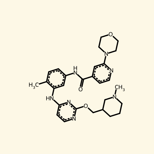 Cc1ccc(NC(=O)c2ccnc(N3CCOCC3)c2)cc1Nc1ccnc(OCC2CCCN(C)C2)n1